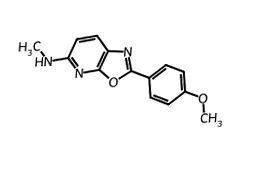 CNc1ccc2nc(-c3ccc(OC)cc3)oc2n1